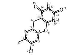 Cc1cc2c(cc1Cl)Oc1[nH]c(=O)[nH]c(=O)c1C2